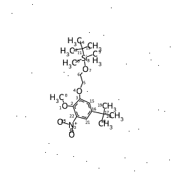 COc1c(OCCO[Si](C)(C)C(C)(C)C)cc(C(C)(C)C)cc1[N+](=O)[O-]